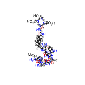 CSCC[C@H](NC(=O)[C@H](CC(C)C)NC(=O)[C@H](Cc1c[nH]cn1)NC(=O)CNC(=O)[C@@H](NC(=O)[C@H](C)NC(=O)[C@H](Cc1c[nH]c2ccccc12)NC(=O)[C@H](CCC(N)=O)NCCC[C@@H](C)[C@H]1CC[C@H]2[C@@H]3CC[C@@H]4C[C@@H](NC(=O)CNC(=O)CN5CCN(CC(=O)O)CCN(CC(=O)O)CCN(CC(=O)O)CC5)CC[C@]4(C)[C@H]3CC[C@]12C)C(C)C)C(N)=O